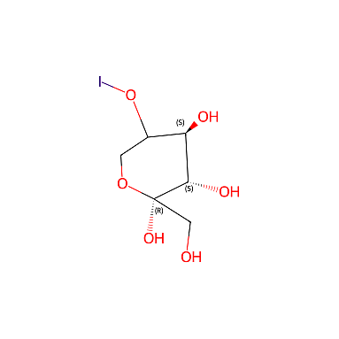 OC[C@@]1(O)OCC(OI)[C@@H](O)[C@@H]1O